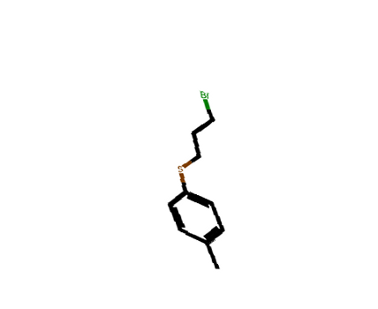 Cc1ccc(SCCCBr)cc1